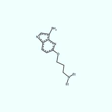 Bc1cnc2ccc(OCCCN(CC)CC)nn12